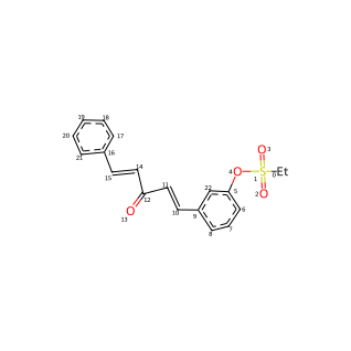 CCS(=O)(=O)Oc1cccc(/C=C/C(=O)/C=C/c2ccccc2)c1